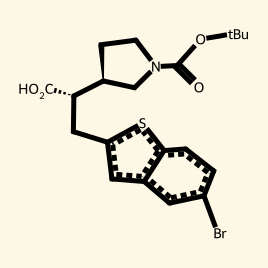 CC(C)(C)OC(=O)N1CC[C@H]([C@H](Cc2cc3cc(Br)ccc3s2)C(=O)O)C1